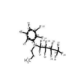 CCCN(c1c(F)c(F)c(F)c(F)c1F)C(F)(F)C(F)(F)C(F)(F)C(F)(F)F